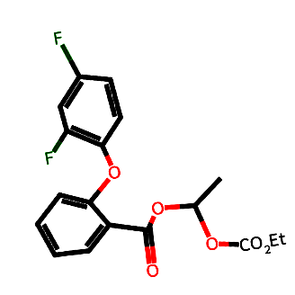 CCOC(=O)OC(C)OC(=O)c1ccccc1Oc1ccc(F)cc1F